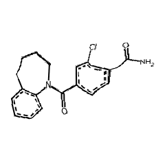 NC(=O)c1ccc(C(=O)N2CCCCc3ccccc32)cc1Cl